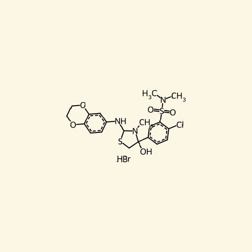 Br.CN1C(Nc2ccc3c(c2)OCCO3)SCC1(O)c1ccc(Cl)c(S(=O)(=O)N(C)C)c1